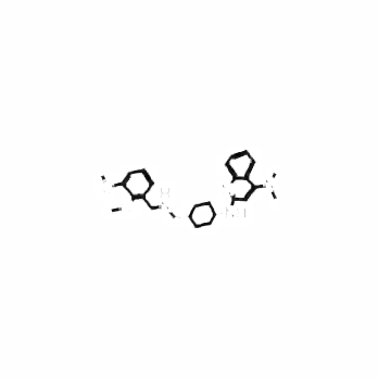 COc1cccc(CNC[C@H]2CC[C@@H](Nc3cc(N(C)C)c4ccccc4n3)CC2)c1OC